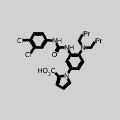 CC(C)CN(CC(C)C)c1ccc(-n2cccc2C(=O)O)cc1NC(=O)Nc1ccc(Cl)c(Cl)c1